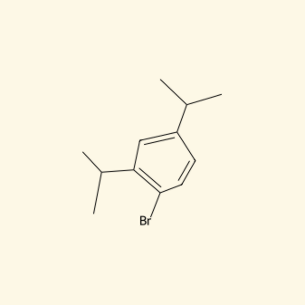 CC(C)c1ccc(Br)c(C(C)C)c1